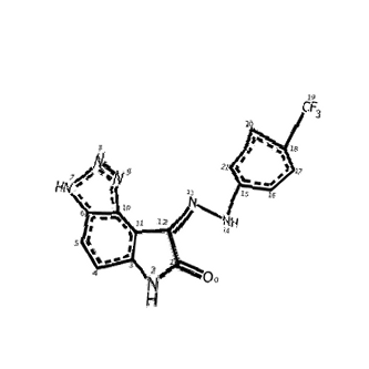 O=C1Nc2ccc3[nH]nnc3c2/C1=N/Nc1ccc(C(F)(F)F)cc1